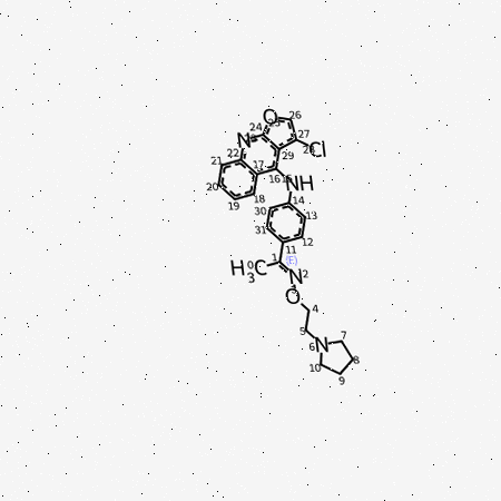 C/C(=N\OCCN1CCCC1)c1ccc(Nc2c3ccccc3nc3occ(Cl)c23)cc1